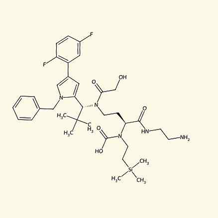 CC(C)(C)[C@H](c1cc(-c2cc(F)ccc2F)cn1Cc1ccccc1)N(CC[C@@H](C(=O)NCCN)N(CC[Si](C)(C)C)C(=O)O)C(=O)CO